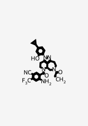 C=CC(=O)N1CCc2nn(-c3ccc(C4CC4)cc3O)c3c2C(C1)N(C(=O)c1cc(C#N)c(C(F)(F)F)cc1N)CC3